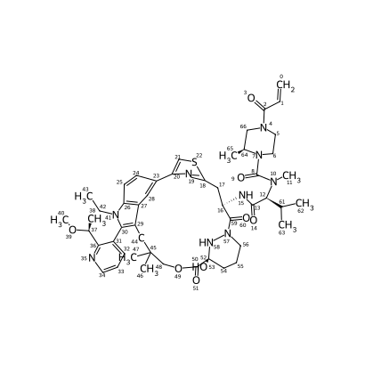 C=CC(=O)N1CCN(C(=O)N(C)[C@H](C(=O)N[C@H]2Cc3nc(cs3)-c3ccc4c(c3)c(c(-c3cccnc3[C@H](C)OC)n4CC)CC(C)(C)COC(=O)[C@@]3(O)CCCN(N3)C2=O)C(C)C)[C@@H](C)C1